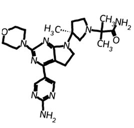 CC(C)(C(N)=O)N1CC[C@](C)(N2CCc3c(-c4cnc(N)nc4)nc(N4CCOCC4)nc32)C1